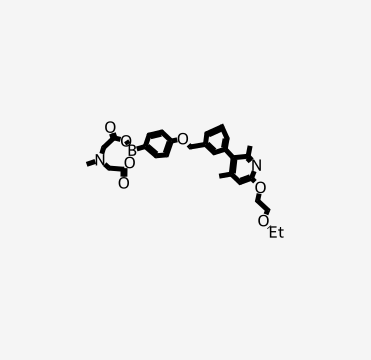 CCOCCOc1cc(C)c(-c2cccc(COc3ccc(B4OC(=O)CN(C)CC(=O)O4)cc3)c2)c(C)n1